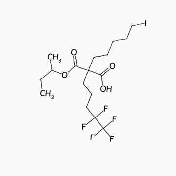 CCC(C)OC(=O)C(CCCCCI)(CCCC(F)(F)C(F)(F)F)C(=O)O